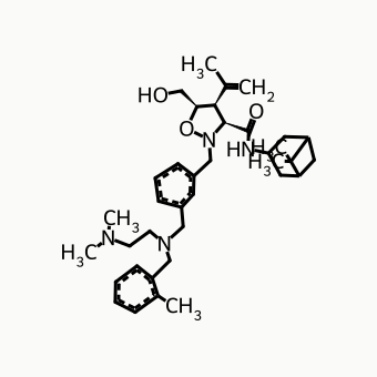 C=C(C)[C@@H]1[C@H](CO)ON(Cc2cccc(CN(CCN(C)C)Cc3ccccc3C)c2)[C@@H]1C(=O)NC1CC2CC(C1)C2(C)C